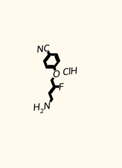 Cl.N#Cc1ccc(OC/C(F)=C/CN)cc1